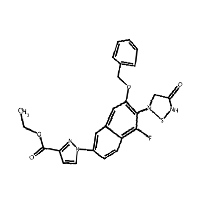 CCOC(=O)c1ccn(-c2ccc3c(F)c(N4CC(=O)NS4)c(OCc4ccccc4)cc3c2)n1